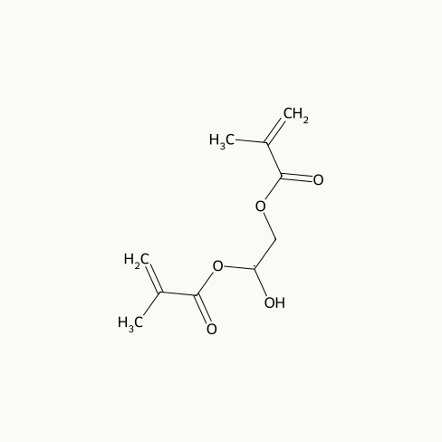 C=C(C)C(=O)OC[C](O)OC(=O)C(=C)C